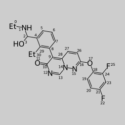 CCNC(O)c1cccc(-c2c(=O)ncn3nc(Oc4ccc(F)cc4F)ccc23)c1CC